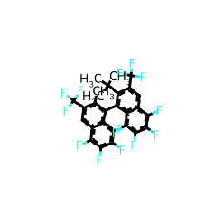 Cc1c(C(F)(F)F)cc2c(F)c(F)c(F)c(F)c2c1-c1c(C(C)(C)C)c(C(F)(F)F)cc2c(F)c(F)c(F)c(F)c12